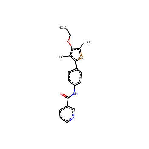 Cc1c(-c2ccc(NC(=O)c3cccnc3)cc2)sc(C(=O)O)c1OCC(=O)O